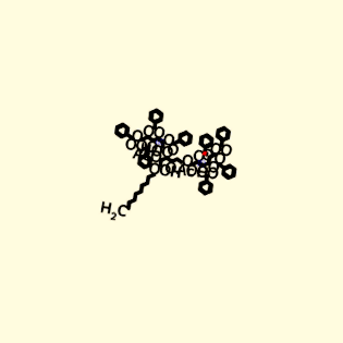 C=CCCCCCCCCOC(O)C(OC(C)=O)C(OC(O)/C(OC(=O)c1ccccc1)=C(/OC(=O)c1ccccc1)C(CCOC(=O)c1ccccc1)OC(=O)c1ccccc1)C(CCOC(O)/C(OC(=O)c1ccccc1)=C(\OC(=O)c1ccccc1)C(CCOC(=O)c1ccccc1)OC(=O)c1ccccc1)OC(C)=O